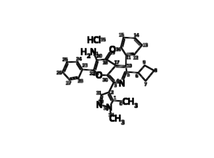 Cc1c(-c2nc(C3CCC3)c(-c3ccccc3)c3c(=O)c(N)c(-c4ccccc4)oc23)cnn1C.Cl